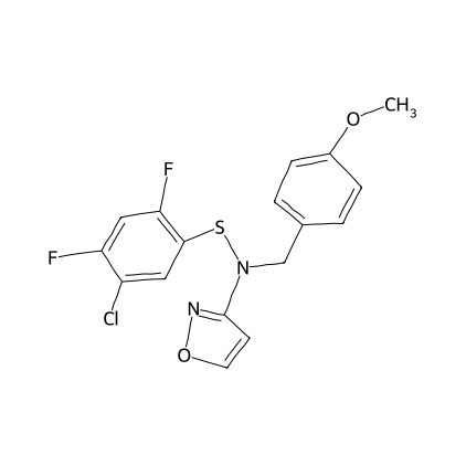 COc1ccc(CN(Sc2cc(Cl)c(F)cc2F)c2ccon2)cc1